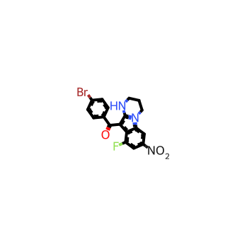 O=C(c1ccc(Br)cc1)c1c2n(c3cc([N+](=O)[O-])cc(F)c13)CCCN2